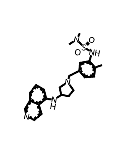 Cc1ccc(CN2CCC(Nc3cccc4cnccc34)C2)cc1NS(=O)(=O)N(C)C